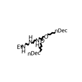 CCCCCCCCCCCCCCOCC(CNCCNCCNCC)OCCCCCCCCCCCCCC